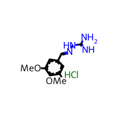 COc1cc(/C=N/NC(=N)N)cc(OC)c1.Cl